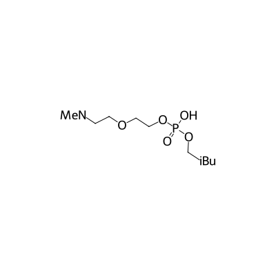 CCC(C)COP(=O)(O)OCCOCCNC